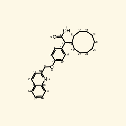 O=C(O)C(c1ccc(OCc2ccc3ccccc3n2)cc1)C1CCCCCCCCC1